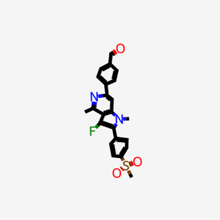 Cc1nc(-c2ccc(C=O)cc2)cc2c1c(F)c(-c1ccc(S(C)(=O)=O)cc1)n2C